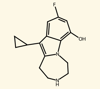 Oc1cc(F)cc2c(C3CC3)c3n(c12)CCNCC3